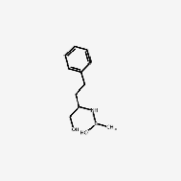 CB(O)NC(CO)CCc1ccccc1